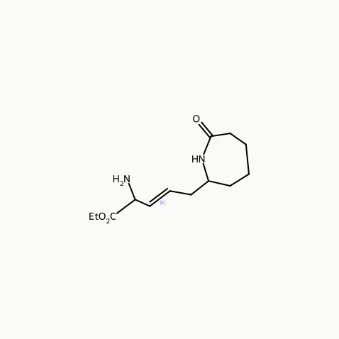 CCOC(=O)C(N)/C=C/CC1CCCCC(=O)N1